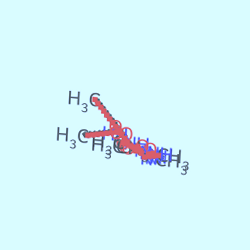 CCCCCCCCCCCCCCOCC(CNC(=O)CC[C@H](NC(=O)c1ccc(N(C=O)Cc2cnc3nc(/N=C/N(C)C)[nH]c(=O)c3n2)cc1)C(=O)OC(C)(C)C)OCCCCCCCCCCCCCC